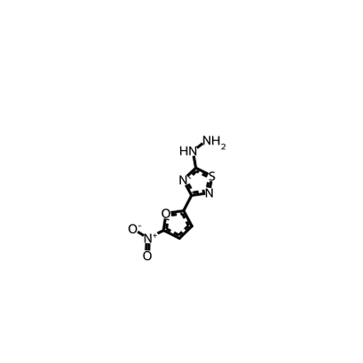 NNc1nc(-c2ccc([N+](=O)[O-])o2)ns1